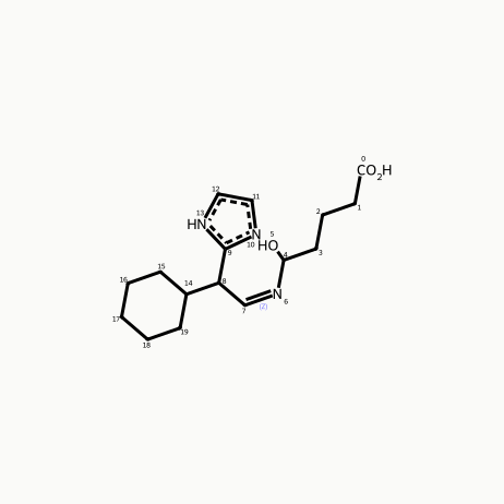 O=C(O)CCCC(O)/N=C\C(c1ncc[nH]1)C1CCCCC1